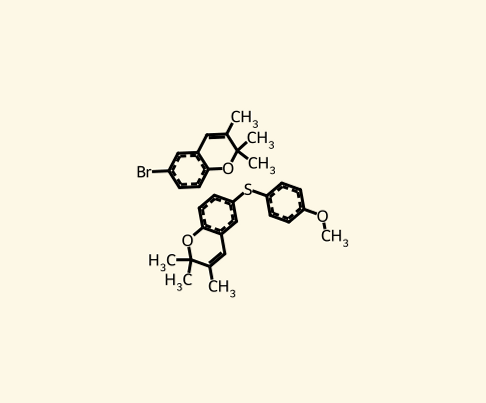 CC1=Cc2cc(Br)ccc2OC1(C)C.COc1ccc(Sc2ccc3c(c2)C=C(C)C(C)(C)O3)cc1